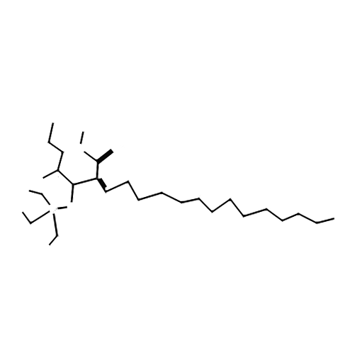 CCCCCCCCCCCCC/C=C(\C(=O)OC)C(O[Si](CC)(CC)CC)C(C)CCC